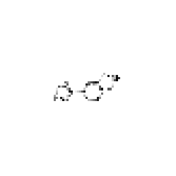 c1ncc(-c2ccc3c(c2)CNC3)o1